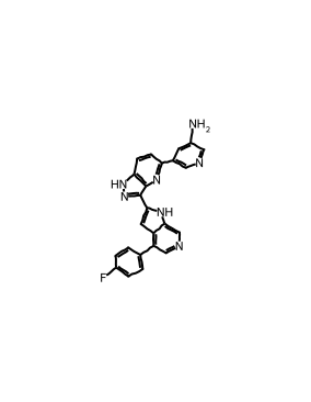 Nc1cncc(-c2ccc3[nH]nc(-c4cc5c(-c6ccc(F)cc6)cncc5[nH]4)c3n2)c1